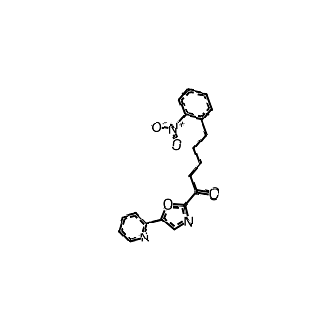 O=C(CCCCc1ccccc1[N+](=O)[O-])c1ncc(-c2ccccn2)o1